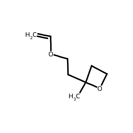 C=COCCC1(C)CCO1